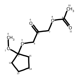 COC1(OCC(=O)COC(C)=O)CCCC1